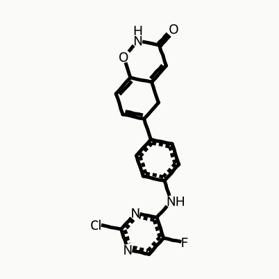 O=C1C=C2CC(c3ccc(Nc4nc(Cl)ncc4F)cc3)=CC=C2ON1